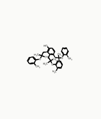 Cc1ccccc1OC(C)(C)Cc1ccc(O)c(CC(C)(C)Oc2ccccc2C)c1CC(C)(C)Oc1ccccc1C